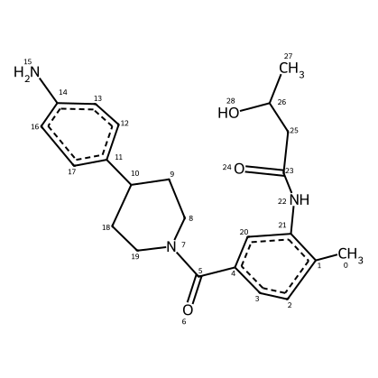 Cc1ccc(C(=O)N2CCC(c3ccc(N)cc3)CC2)cc1NC(=O)CC(C)O